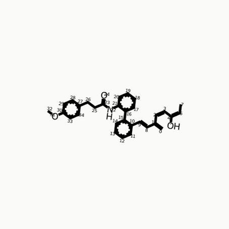 C=C(/C=C\C(O)=C/C)/C=C/c1ccccc1-c1ccccc1NC(=O)CCc1ccc(OC)cc1